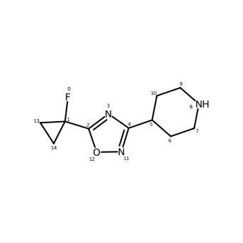 FC1(c2nc(C3CCNCC3)no2)CC1